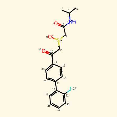 CC(C)NC(=O)C[S+]([O-])CC(=O)c1ccc(-c2ccccc2F)cc1